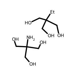 CCC(CO)(CO)CO.NC(CO)(CO)CO